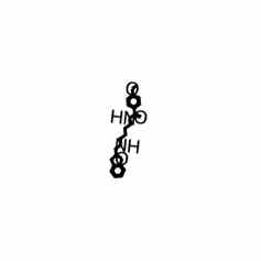 COc1ccc(C(=O)NCCCCNCC2Cc3ccccc3O2)cc1